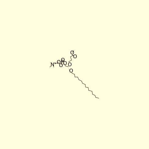 CCCCCCCCCCCCCCCCOC[C@H](COP(=O)([O-])OCC[N+](C)(C)C)OCCCC(=O)OC